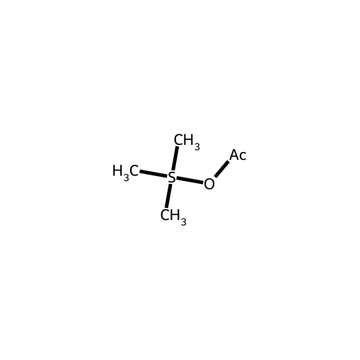 CC(=O)OS(C)(C)C